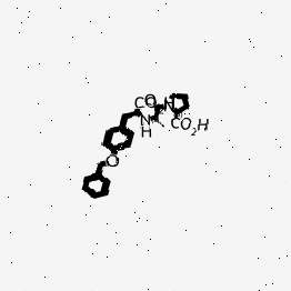 C[C@H](NC(Cc1ccc(OCc2ccccc2)cc1)C(=O)O)C(=O)N1CCC[C@H]1C(=O)O